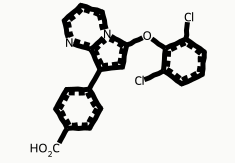 O=C(O)c1ccc(-c2cc(Oc3c(Cl)cccc3Cl)n3cccnc23)cc1